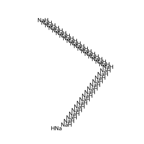 [NaH].[NaH].[NaH].[NaH].[NaH].[NaH].[NaH].[NaH].[NaH].[NaH].[NaH].[NaH].[NaH].[NaH].[NaH].[NaH].[NaH].[NaH].[NaH].[NaH].[NaH].[NaH].[NaH].[NaH].[NaH].[NaH].[NaH].[NaH].[NaH].[NaH].[NaH].[NaH].[NaH].[NaH].[NaH].[NaH]